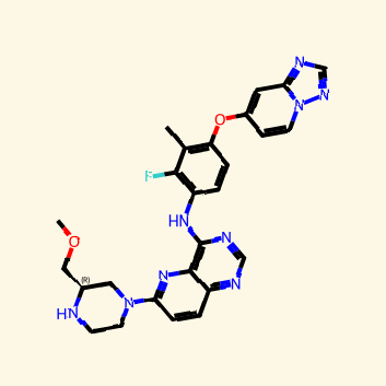 COC[C@H]1CN(c2ccc3ncnc(Nc4ccc(Oc5ccn6ncnc6c5)c(C)c4F)c3n2)CCN1